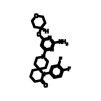 [2H]C1(Oc2cc(N3CCC4(CCCC(=O)N4c4ccc(F)c(F)c4)CC3)nc(N)n2)CCOCC1